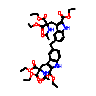 CCOC(=O)c1[nH]c2ccc(Cc3ccc4[nH]c(C(=O)OCC)c(CC(NC(C)=O)(C(=O)OCC)C(=O)OCC)c4c3)cc2c1CC(NC(C)=O)(C(=O)OCC)C(=O)OCC